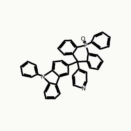 O=P1(c2ccccc2)c2ccccc2C(c2ccncc2)(c2ccc3c(c2)c2ccccc2n3-c2ccccc2)c2ccccc21